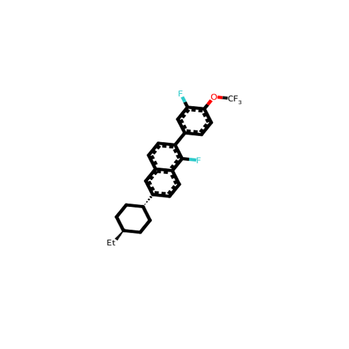 CC[C@H]1CC[C@H](c2ccc3c(F)c(-c4ccc(OC(F)(F)F)c(F)c4)ccc3c2)CC1